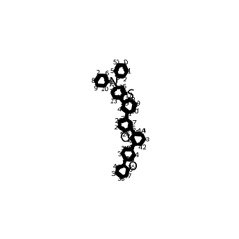 c1ccc(N(c2ccccc2)c2ccc3c(c2)sc2ccc(-c4ccc5oc6c(-c7ccc8c(c7)oc7ccccc78)cccc6c5c4)cc23)cc1